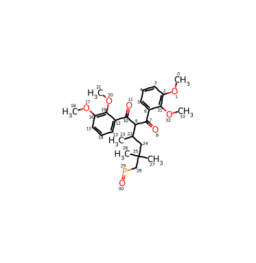 COc1cccc(C(=O)C(C(=O)c2cccc(OC)c2OC)C(C)CC(C)(C)CP=O)c1OC